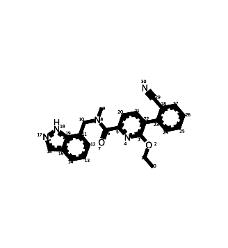 CCOc1nc(C(=O)N(C)Cc2cccc3cn[nH]c23)ccc1-c1ccccc1C#N